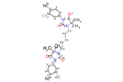 CC1(C)C(=O)N(c2ccc(C#N)c(Cl)c2)C(=O)N1CCCCCN1C(=O)N(c2ccc(C#N)c(Cl)c2)C(=O)C1(C)C